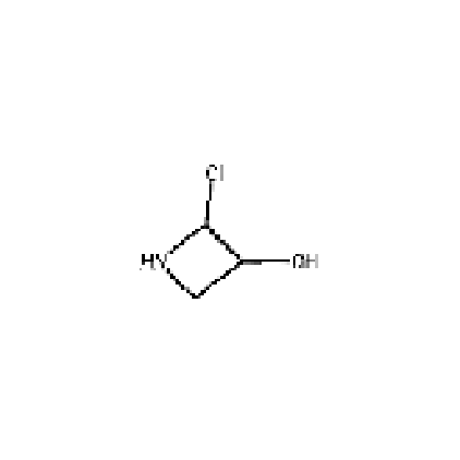 OC1CNC1Cl